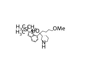 COCCCC[C@@](O)(c1cccc2cc([Si](C)(C)C)sc12)[C@@H]1CCCNC1